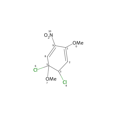 COC1=CC(Cl)C(Cl)(OC)C=C1[N+](=O)[O-]